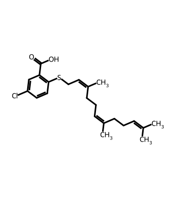 CC(C)=CCCC(C)=CCCC(C)=CCSc1ccc(Cl)cc1C(=O)O